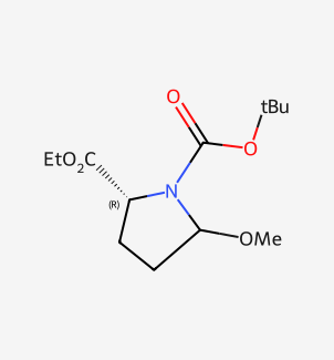 CCOC(=O)[C@H]1CCC(OC)N1C(=O)OC(C)(C)C